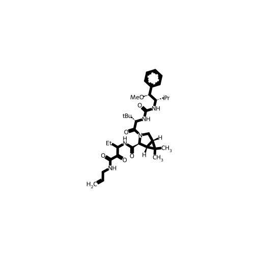 C=CCNC(=O)C(=O)C(CC)NC(=O)[C@@H]1[C@@H]2[C@H](CN1C(=O)[C@@H](NC(=O)N[C@@H](C(C)C)[C@H](OC)c1ccccc1)C(C)(C)C)C2(C)C